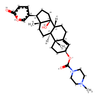 CN1CCN(C(=O)O[C@@H]2C=C3CC[C@@H]4[C@H](CC[C@]5(C)[C@@H](c6ccc(=O)oc6)CC[C@]45O)[C@@]3(C)CC2)CC1